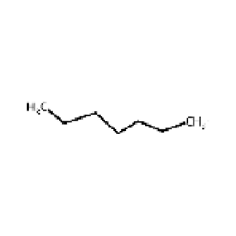 [CH2]CCCC[CH]C